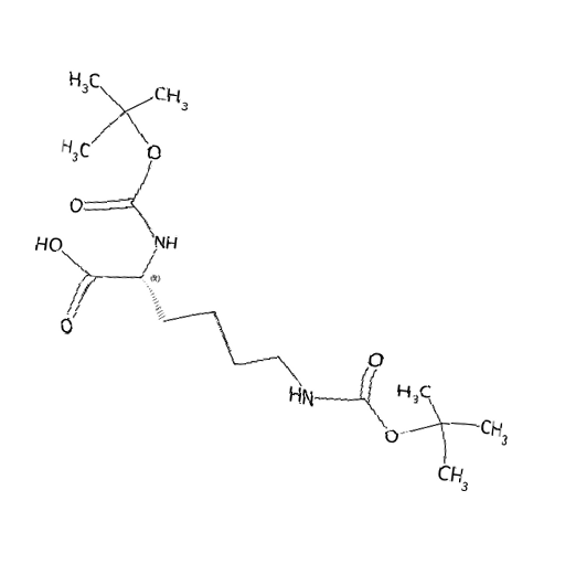 CC(C)(C)OC(=O)NCCCC[C@@H](NC(=O)OC(C)(C)C)C(=O)O